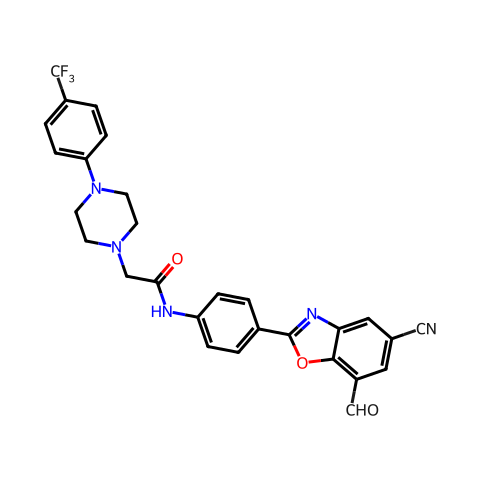 N#Cc1cc(C=O)c2oc(-c3ccc(NC(=O)CN4CCN(c5ccc(C(F)(F)F)cc5)CC4)cc3)nc2c1